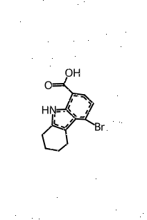 O=C(O)c1ccc(Br)c2c3c([nH]c12)CCCC3